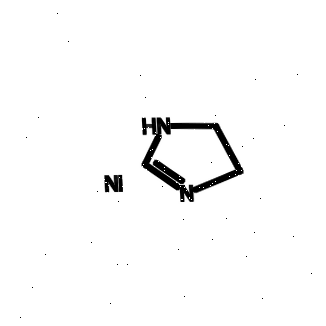 C1=NCCN1.[Ni]